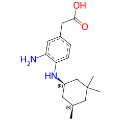 C[C@H]1C[C@@H](Nc2ccc(CC(=O)O)cc2N)CC(C)(C)C1